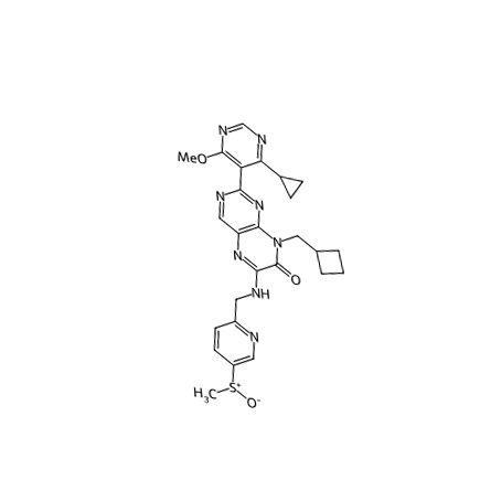 COc1ncnc(C2CC2)c1-c1ncc2nc(NCc3ccc([S+](C)[O-])cn3)c(=O)n(CC3CCC3)c2n1